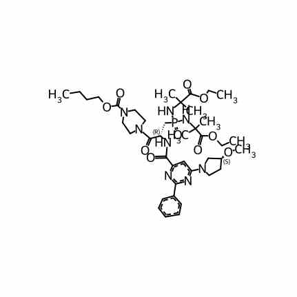 CCCCOC(=O)N1CCN(C(=O)[C@H](CP(=O)(NC(C)(C)C(=O)OCC)NC(C)(C)C(=O)OCC)NC(=O)c2cc(N3CC[C@H](OC)C3)nc(-c3ccccc3)n2)CC1